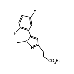 CCOC(=O)CCc1cc(-c2cc(F)ccc2F)n(C)n1